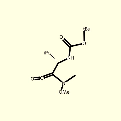 CON(C)C(=C=O)[C@@H](NC(=O)OC(C)(C)C)C(C)C